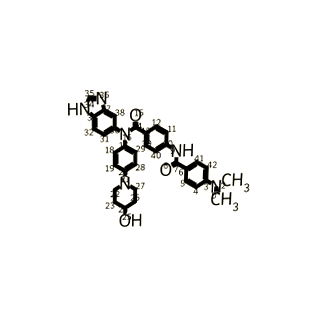 CN(C)c1ccc(C(=O)Nc2ccc(C(=O)N(c3ccc(N4CCC(O)CC4)cc3)c3ccc4[nH]cnc4c3)cc2)cc1